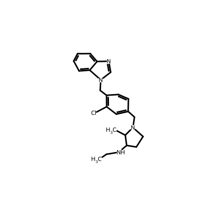 CCNC1CCN(Cc2ccc(Cn3cnc4ccccc43)c(Cl)c2)C1C